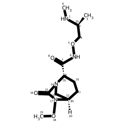 CN[C@@H](C)CONC(=O)[C@@H]1CC[C@@H]2CN1C(=O)N2OC